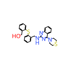 OCc1ccccc1Sc1ccccc1CNc1nc(N2CCSCC2)c2ccccc2n1